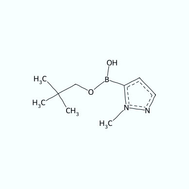 Cn1nccc1B(O)OCC(C)(C)C